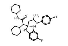 CC(CC1(C(C(=O)NC2CCCCC2)C2CCCCC2)Nc2ccc(F)cc2N1)Oc1ccc(Cl)cc1